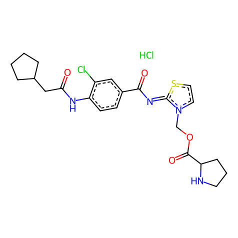 Cl.O=C(CC1CCCC1)Nc1ccc(C(=O)N=c2sccn2COC(=O)C2CCCN2)cc1Cl